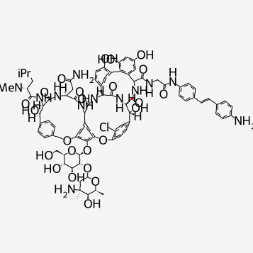 CN[C@H](CC(C)C)C(=O)N[C@H]1C(=O)N[C@@H](CC(N)=O)C(=O)NC2C(=O)N[C@H]3C(=O)N[C@H](C(=O)NC(C(=O)NCC(=O)Nc4ccc(/C=C/c5ccc(N)cc5)cc4)c4cc(O)cc(O)c4-c4cc3ccc4O)[C@H](O)c3ccc(c(Cl)c3)Oc3cc2cc(c3O[C@@H]2O[C@H](CO)[C@@H](O)[C@H](O)[C@H]2OC2C[C@](C)(N)[C@H](O)[C@H](C)O2)Oc2ccc(cc2)[C@H]1O